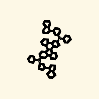 c1ccc(N(c2cccc(-c3cccc4ccccc34)c2)c2ccc3c(c2)c2ccccc2c2c4ccc(N(c5ccccc5)c5cccc(-c6cccc7ccccc67)c5)cc4c4ccccc4c32)cc1